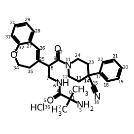 CC(C)(N)C(=O)NCC(C(=O)N1CCC(C#N)(c2ccccc2)CC1)C1=Cc2ccccc2OCC1.Cl